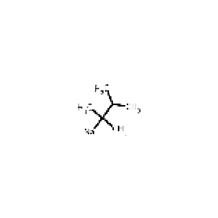 CC(C)[C](C)(C)[Na]